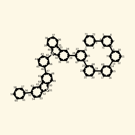 c1ccc(-c2cccc(-c3cccc(-c4cccc(-c5cccc(-c6cccc(-c7ccc8c(c7)c7ccccc7n8-c7cccc(-c8ccc9sc%10ccc(-c%11ccccc%11)cc%10c9c8)c7)c6)c5)c4)c3)c2)cc1